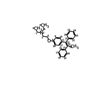 CCN(CC)CCOc1ccc(/C(=C(/C)c2ccccc2)c2ccccc2)cc1